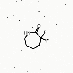 O=C1NCCCCC1(F)F